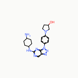 NC1CCC(Nc2ncc3nnn(-c4ccc(N5CCC(O)C5)cc4)c3n2)CC1